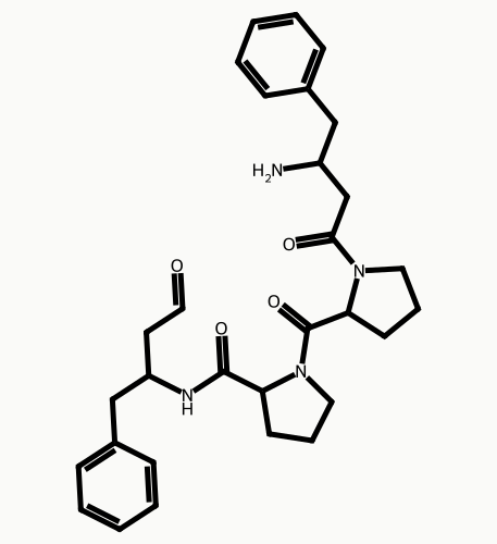 NC(CC(=O)N1CCCC1C(=O)N1CCCC1C(=O)NC(CC=O)Cc1ccccc1)Cc1ccccc1